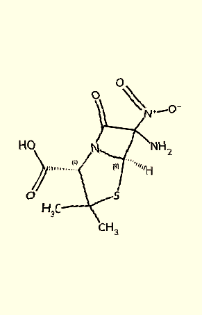 CC1(C)S[C@H]2N(C(=O)C2(N)[N+](=O)[O-])[C@H]1C(=O)O